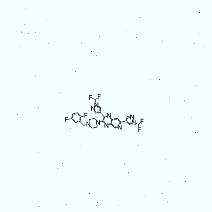 Fc1ccc(F)c(CN2CCN(c3nc4cnc(-c5cnn(C(F)F)c5)cc4nc3-c3cnn(C(F)F)c3)CC2)c1